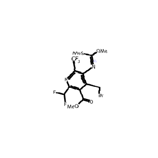 COC(=O)c1c(C(F)F)nc(C(F)(F)F)c(/N=C(/OC)SC)c1CC(C)C